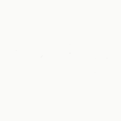 Cc1cc2c(cc1C13CC=C(c4ccc(C(=O)O)cc4)C1C3)C(C)(C)CCC2(C)C